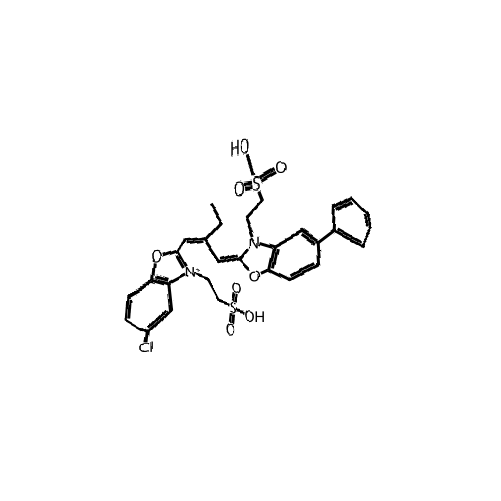 CCC(=Cc1oc2ccc(Cl)cc2[n+]1CCS(=O)(=O)O)C=C1Oc2ccc(-c3ccccc3)cc2N1CCS(=O)(=O)O